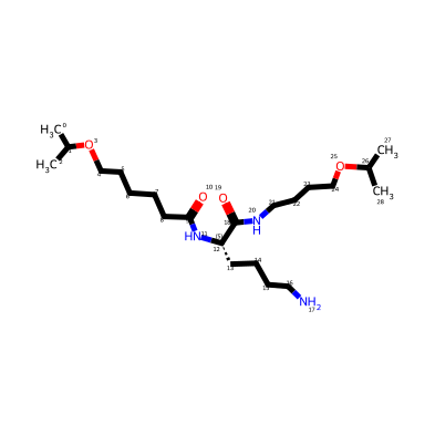 CC(C)OCCCCCC(=O)N[C@@H](CCCCN)C(=O)NCCCCOC(C)C